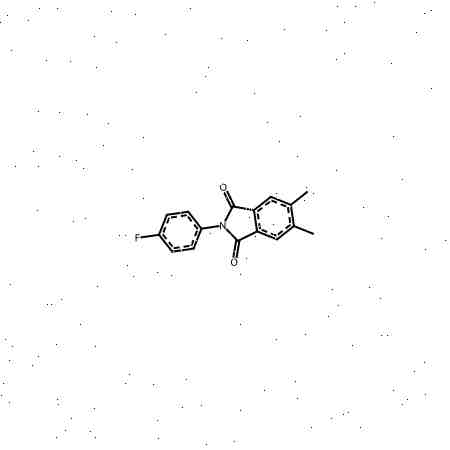 Cc1cc2c(cc1C)C(=O)N(c1ccc(F)cc1)C2=O